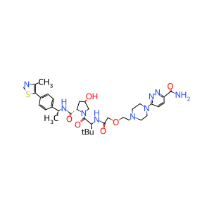 Cc1ncsc1-c1ccc([C@H](C)NC(=O)[C@@H]2C[C@@H](O)CN2C(=O)[C@@H](NC(=O)COCCN2CCN(c3ccc(C(N)=O)nn3)CC2)C(C)(C)C)cc1